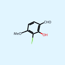 COc1ccc(C=O)c(O)c1F